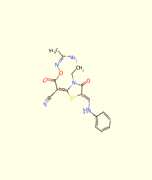 CCn1c(=C(C#N)C(=O)ON=C(C)N)sc(=CNc2ccccc2)c1=O